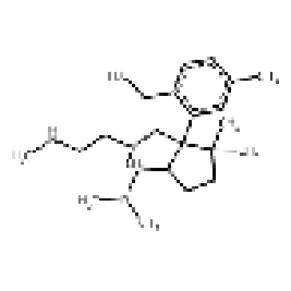 CCc1ccc(C)cc1C1(CN(C)CCNC)C(CN(C)C)CCC1(C)C